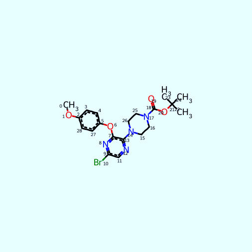 COc1ccc(Oc2nc(Br)cnc2N2CCN(C(=O)OC(C)(C)C)CC2)cc1